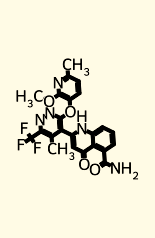 COc1nc(C)ccc1Oc1nnc(C(F)(F)F)c(C)c1-c1cc(=O)c2c(C(N)=O)cccc2[nH]1